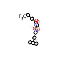 O=C(Cn1cc(S(=O)(=O)N2CCC(c3ccc(-c4c5ccccc5cc5ccccc45)cc3)CC2)ccc1=O)c1ccc(-c2cccc(C(F)(F)F)c2)cc1